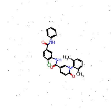 Cc1cccc(C)c1-n1cc(C(=O)Nc2cc(C(=O)Nc3ccccc3)ccc2Cl)ccc1=O